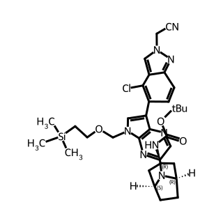 CC(C)(C)OC(=O)N[C@H]1C[C@H]2CC[C@@H](C1)N2c1cnc2c(-c3ccc4nn(CC#N)cc4c3Cl)cn(COCC[Si](C)(C)C)c2n1